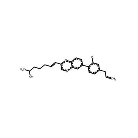 C=CCc1ccc(-c2ccc3nc(/C=C/CCCC(C)O)cnc3c2)c(F)c1